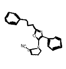 N#C[C@@H]1CCCN1c1oc(CCCc2ccccc2)nc1-c1ccccc1